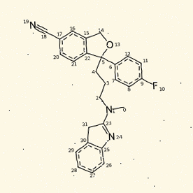 CN(CCCC1(c2ccc(F)cc2)OCc2cc(C#N)ccc21)C1=Nc2ccccc2C1